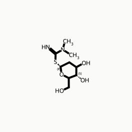 CN(C)C(=N)S[C@@H]1CC(O)[C@H](O)C(CO)O1